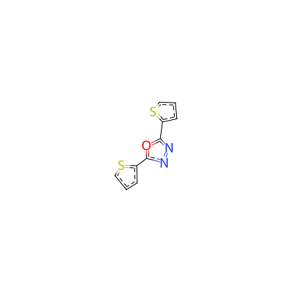 c1csc(-c2nnc(-c3cccs3)o2)c1